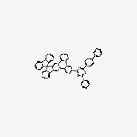 C1=C2C(=CB3c4ccccc4-c4cc(-c5nc(-c6ccccc6)nc(-c6ccc(-c7ccccc7)cc6)n5)ccc4N13)C1(c3ccccc32)c2ccccc2-c2ccccc21